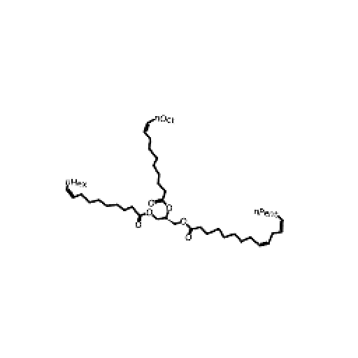 CCCCC/C=C\C/C=C\CCCCCCCC(=O)OC[C@@H](COC(=O)CCCCCCC/C=C\CCCCCC)OC(=O)CCCCCCC/C=C\CCCCCCCC